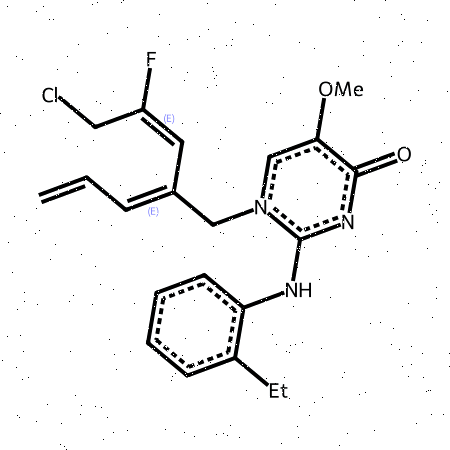 C=C/C=C(\C=C(\F)CCl)Cn1cc(OC)c(=O)nc1Nc1ccccc1CC